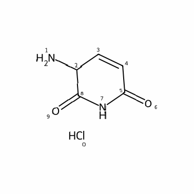 Cl.NC1C=CC(=O)NC1=O